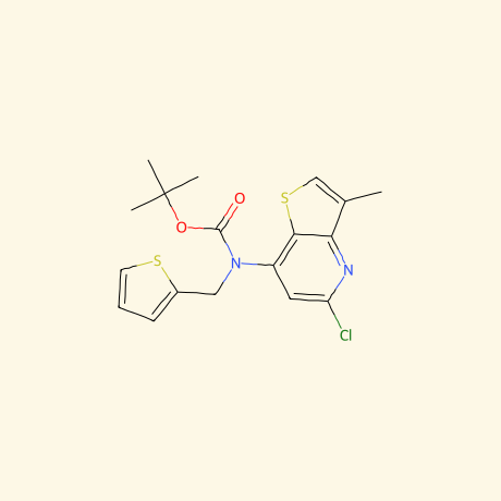 Cc1csc2c(N(Cc3cccs3)C(=O)OC(C)(C)C)cc(Cl)nc12